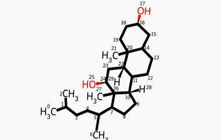 CC(C)CCC(C)C1CC[C@H]2C3CCC4C[C@H](O)CCC4(C)[C@H]3C[C@H](O)C12C